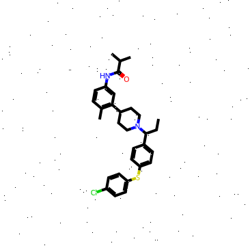 CCC(c1ccc(Sc2ccc(Cl)cc2)cc1)N1CCC(c2cc(NC(=O)C(C)C)ccc2C)CC1